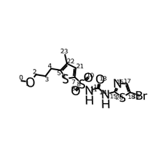 COCCCc1sc(S(=O)(=O)NC(=O)Nc2ncc(Br)s2)cc1C